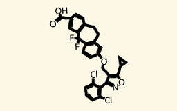 O=C(O)c1ccc2c(c1)C(F)(F)c1ccc(OCc3c(-c4c(Cl)cccc4Cl)noc3C3CC3)cc1CC2